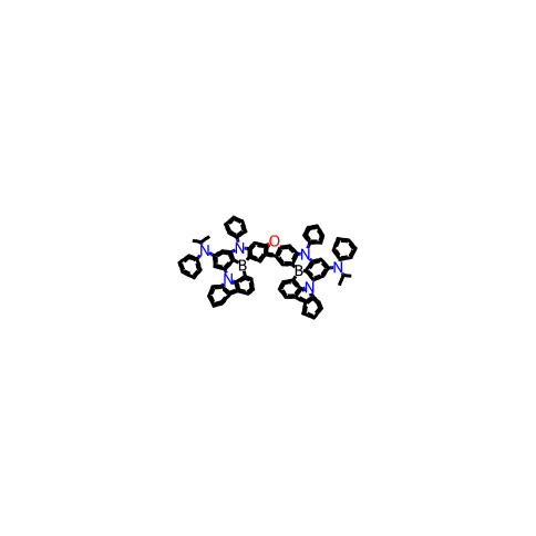 CC(C)N(c1ccccc1)c1cc2c3c(c1)-n1c4ccccc4c4cccc(c41)B3c1cc3c(cc1N2c1ccccc1)oc1cc2c(cc13)B1c3c(cc(N(c4ccccc4)C(C)C)cc3-n3c4ccccc4c4cccc1c43)N2c1ccccc1